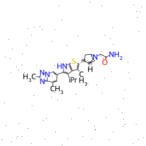 Cc1nc2c(C)cc(-c3[nH]c4sc([C@@H]5CC6C[C@H]5CN6CC(N)=O)c(C)c4c3C(C)C)cn2n1